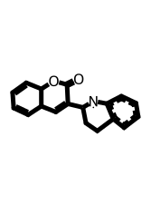 O=C1OC2C=CC=CC2C=C1C1CCc2ccccc2[N]1